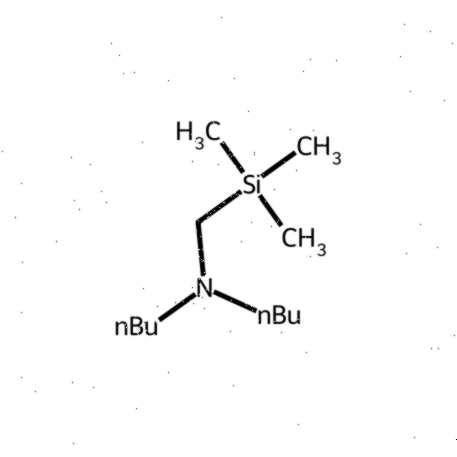 CCCCN(CCCC)C[Si](C)(C)C